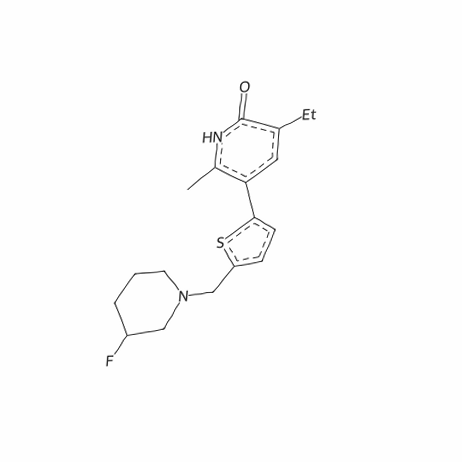 CCc1cc(-c2ccc(CN3CCCC(F)C3)s2)c(C)[nH]c1=O